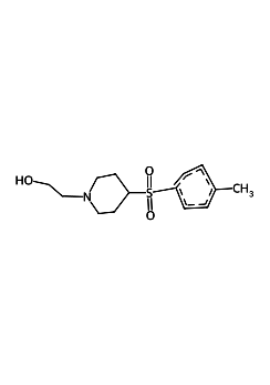 Cc1ccc(S(=O)(=O)C2CCN(CCO)CC2)cc1